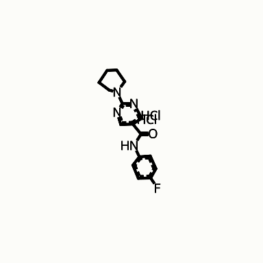 Cl.Cl.O=C(Nc1ccc(F)cc1)c1cnc(N2CCCCC2)nc1